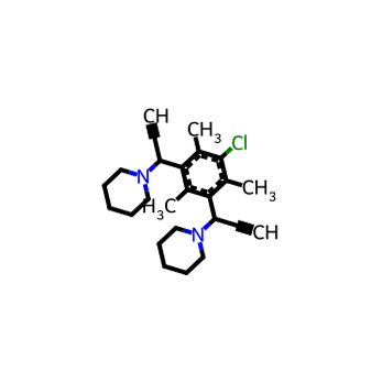 C#CC(c1c(C)c(Cl)c(C)c(C(C#C)N2CCCCC2)c1C)N1CCCCC1